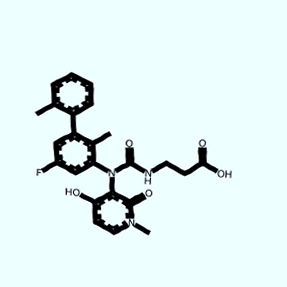 Cc1ccccc1-c1cc(F)cc(N(C(=O)NCCC(=O)O)c2c(O)ccn(C)c2=O)c1C